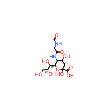 O=CNCC(=O)NC1C(O)CC(O)(C(=O)O)OC1[C@H](O)[C@H](O)CO